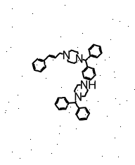 C(=Cc1ccccc1)CN1CCN(C(c2ccccc2)c2ccccc2)CC1.c1ccc(C(c2ccccc2)N2CCNCC2)cc1